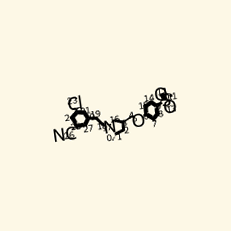 C[C@H]1C[C@H](COc2ccc(S(C)(=O)=O)cc2)CN1CCc1cc(Cl)cc(C#N)c1